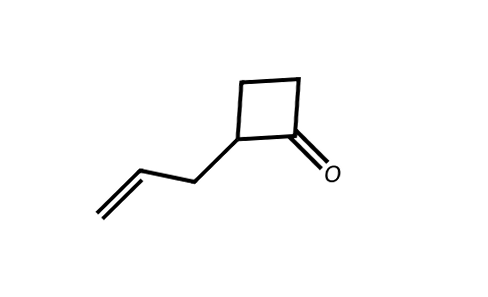 C=CCC1CCC1=O